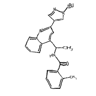 Cc1ccccc1C(=O)NC(C)c1cc(-c2cnn(C(C)(C)C)c2)nc2ccccc12